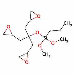 CCC[Si](OC)(OC)OC(CC1CO1)(CC1CO1)CC1CO1